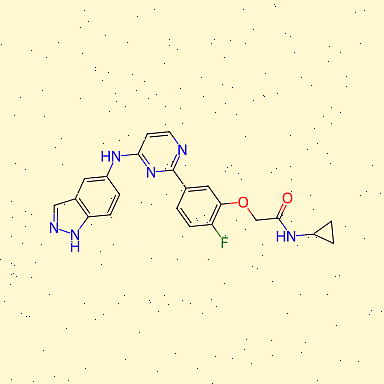 O=C(COc1cc(-c2nccc(Nc3ccc4[nH]ncc4c3)n2)ccc1F)NC1CC1